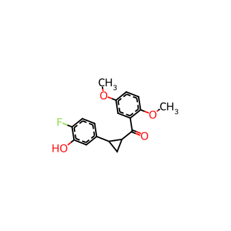 COc1ccc(OC)c(C(=O)C2CC2c2ccc(F)c(O)c2)c1